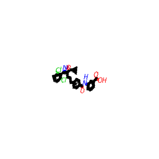 O=C(O)c1cccc(NC(=O)C23CCC(CCCc4c(-c5c(Cl)cccc5Cl)noc4C4CC4)(CC2)CC3)c1